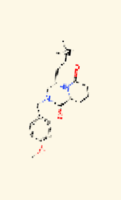 COc1ccc(CN(CC=CC[Si](C)(C)C)C(=O)[C@@H]2CCCC(=O)N2)cc1